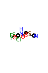 O=C(Nc1ccc(OC(F)(F)F)c(Cl)c1)c1ccc(SCc2ccncc2)o1